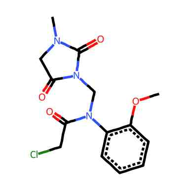 COc1ccccc1N(CN1C(=O)CN(C)C1=O)C(=O)CCl